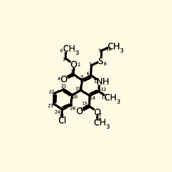 CCOC(=O)C1=C(CSCC)NC(C)=C(C(=O)OC)C1c1cccc(Cl)c1